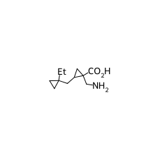 CCC1(CC2CC2(CN)C(=O)O)CC1